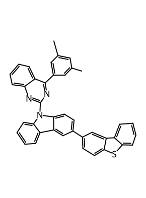 Cc1cc(C)cc(-c2nc(-n3c4ccccc4c4cc(-c5ccc6sc7ccccc7c6c5)ccc43)nc3ccccc23)c1